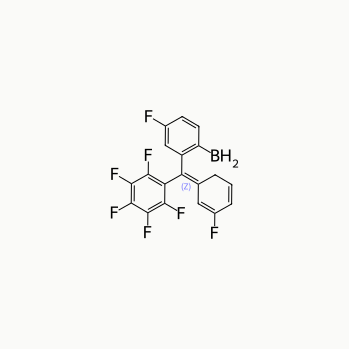 Bc1ccc(F)cc1/C(=C1/C=C(F)C=CC1)c1c(F)c(F)c(F)c(F)c1F